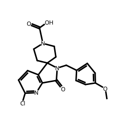 COc1ccc(CN2C(=O)c3nc(Cl)ccc3C23CCN(C(=O)O)CC3)cc1